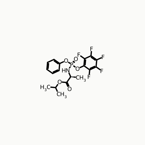 CC(C)OC(=O)[C@H](C)NP(=O)(Oc1ccccc1)Oc1c(F)c(F)c(F)c(F)c1F